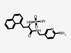 CCCS(=O)(=O)NC(Cc1cccc2ccccc12)C(=O)NCc1ccc(N)nc1